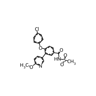 COc1ccc(-c2cc(C(=O)NS(C)(=O)=O)ccc2Oc2ccc(Cl)cc2)cn1